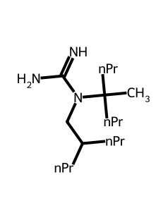 CCCC(CCC)CN(C(=N)N)C(C)(CCC)CCC